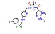 C=C(/N=C\C(=C/N)C(=O)NC1(C(=O)NCc2ccc(Nc3ccc(F)cc3C(F)(F)F)cn2)CC1)NCC